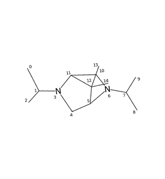 CC(C)N1CC2N(C(C)C)CC1C2(C)C